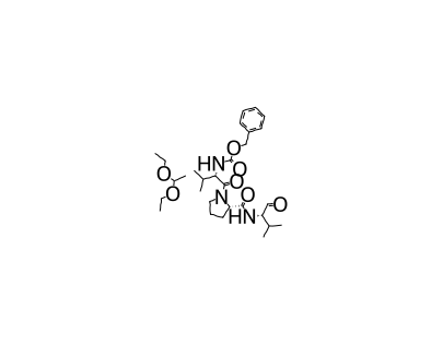 CC(C)[C@H](NC(=O)OCc1ccccc1)C(=O)N1CCC[C@H]1C(=O)N[C@H](C=O)C(C)C.CCOC(C)OCC